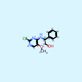 COc1cnc(Cl)nc1N[C@H](CO)c1ccccc1